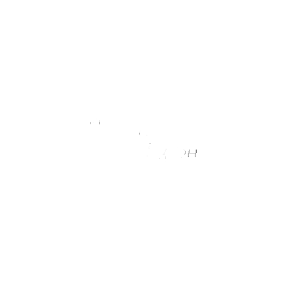 O=C(CO)CC(=O)OCCCCO